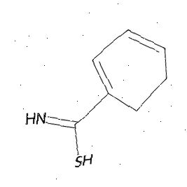 N=C(S)C1=CC=CCC1